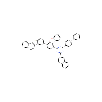 c1ccc(-c2ccc(C3N=C(c4ccc(-c5ccc6sc7c8ccccc8ccc7c6c5)c5oc6ccccc6c45)N=C(c4ccc5ccccc5c4)N3)cc2)cc1